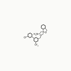 NCCC1(COCc2cc(-c3cccc(Cl)c3)cc(C(F)(F)F)c2)OCc2ccccc21